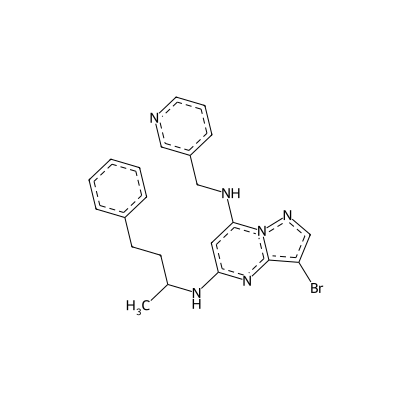 CC(CCc1ccccc1)Nc1cc(NCc2cccnc2)n2ncc(Br)c2n1